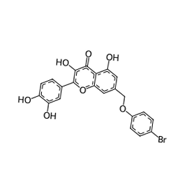 O=c1c(O)c(-c2ccc(O)c(O)c2)oc2cc(COc3ccc(Br)cc3)cc(O)c12